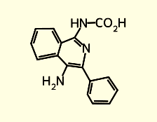 Nc1c(-c2ccccc2)nc(NC(=O)O)c2ccccc12